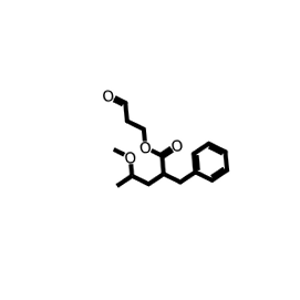 COC(C)CC(Cc1ccccc1)C(=O)OCCC=O